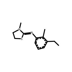 CCc1cccc(N=C2SCCN2C)c1C